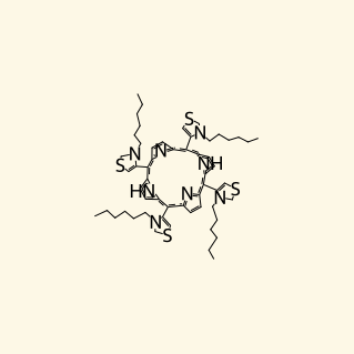 CCCCCCN1CSC=C1c1c2nc(c(C3=CSCN3CCCCCC)c3ccc([nH]3)c(C3=CSCN3CCCCCC)c3nc(c(C4=CSCN4CCCCCC)c4ccc1[nH]4)C=C3)C=C2